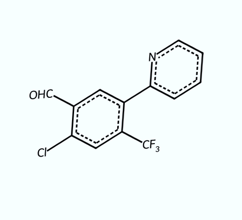 O=Cc1cc(-c2ccccn2)c(C(F)(F)F)cc1Cl